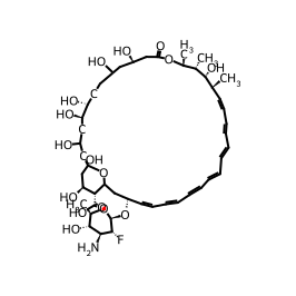 C[C@@H]1[C@H](O)[C@@H](C)/C=C/C=C/C=C/C=C/C=C/C=C/C=C/[C@H](O[C@@H]2O[C@H](C)[C@@H](O)[C@H](N)[C@H]2F)CC2O[C@](O)(CC(O)C[C@@H](O)[C@H](O)CCC(O)C[C@@H](O)CC(=O)O[C@H]1C)C[C@H](O)[C@H]2C(=O)O